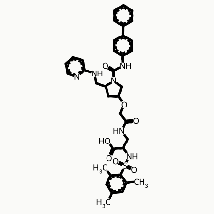 Cc1cc(C)c(S(=O)(=O)NC(CNC(=O)COC2CC(CNc3ccccn3)N(C(=O)Nc3ccc(-c4ccccc4)cc3)C2)C(=O)O)c(C)c1